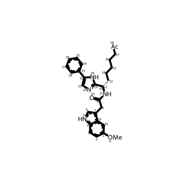 COc1ccc2[nH]cc(CC(=O)N[C@@H](CCCCCC(C)=O)C3=[N+]C=C(c4ccccc4)N3)c2c1